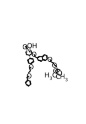 CC1(C)OC[C@H](COCCOc2ccc3cc(CO[C@H]4CN(C(=O)O)CC[C@@H]4c4ccc(OCCCOCc5ccccc5)cc4)ccc3c2)O1